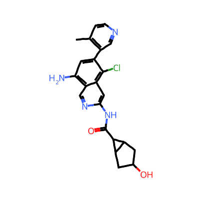 Cc1ccncc1-c1cc(N)c2cnc(NC(=O)C3C4CC(O)CC43)cc2c1Cl